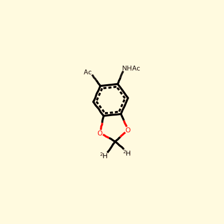 [2H]C1([2H])Oc2cc(NC(C)=O)c(C(C)=O)cc2O1